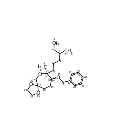 CC(CO)CCC[C@]1(C)OCC2(CC[C@@H]1OCc1ccccc1)OCCO2